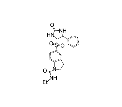 CCNC(=O)N1CCc2cc(S(=O)(=O)C3NC(=O)NC3c3ccccc3)ccc21